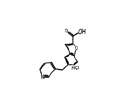 Cl.O=C(O)c1cc2cc(Cc3cccnc3)ccc2o1